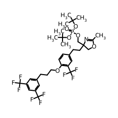 CC1=NC(CCc2ccc(OCCCc3cc(C(F)(F)F)cc(C(F)(F)F)c3)c(C(F)(F)F)c2)(COP(=O)(OC(C)(C)C)OC(C)(C)C)CO1